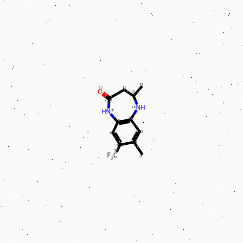 Cc1cc2c(cc1C(F)(F)F)NC(=O)CC(C)N2